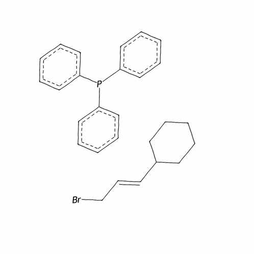 BrC/C=C/C1CCCCC1.c1ccc(P(c2ccccc2)c2ccccc2)cc1